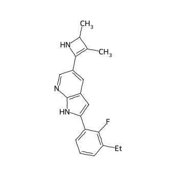 CCc1cccc(-c2cc3cc(C4=C(C)C(C)N4)cnc3[nH]2)c1F